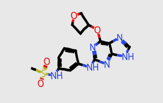 CS(=O)(=O)Nc1cccc(Nc2nc(OC3CCOC3)c3nc[nH]c3n2)c1